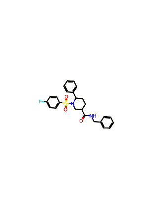 O=C(NCc1ccccc1)C1CCC(c2ccccc2)N(S(=O)(=O)c2ccc(F)cc2)C1